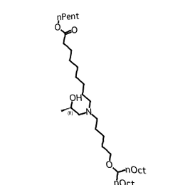 CCCCCCCCC(CCCCCCCC)OCCCCCN(CCCCCCCCC(=O)OCCCCC)C[C@@H](C)O